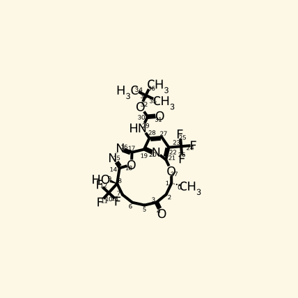 C[C@@H]1CC(=O)CCC[C@](O)(C(F)(F)F)c2nnc(o2)-c2nc(c(C(F)(F)F)cc2NC(=O)OC(C)(C)C)O1